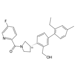 CCc1cc(C)ccc1-c1ccc([C@@H]2CCN(C(=O)c3ccc(F)cn3)C2)c(CO)c1